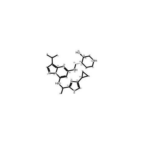 CC(C)c1cnn2c(NC(C)c3nc(C4CC4)cs3)cc(NC[C@H]3CCNC[C@@H]3O)nc12